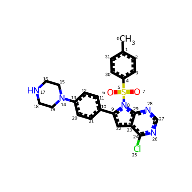 Cc1ccc(S(=O)(=O)n2c(-c3ccc(N4CCNCC4)cc3)cc3c(Cl)ncnc32)cc1